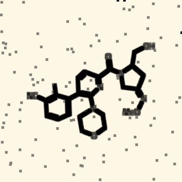 CO/N=C1/CC(CO)N(C(=O)c2ccc(-c3cccc(C#N)c3C)c(N3CCOCC3)n2)C1